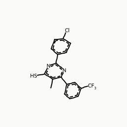 Cc1c(S)nc(-c2ccc(Cl)cc2)nc1-c1cccc(C(F)(F)F)c1